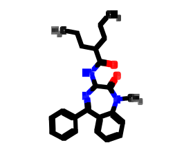 CCCC(CCC)C(=O)NC1N=C(c2ccccc2)c2ccccc2N(C)C1=O